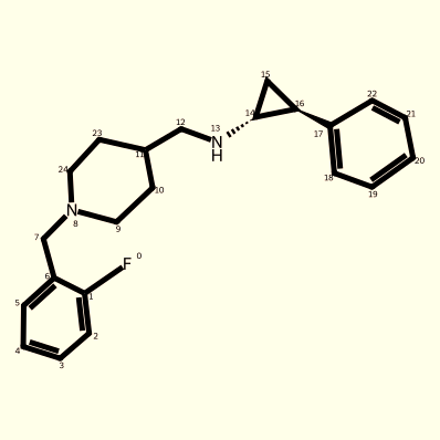 Fc1ccccc1CN1CCC(CN[C@@H]2C[C@H]2c2ccccc2)CC1